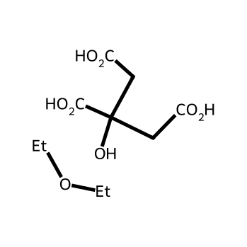 CCOCC.O=C(O)CC(O)(CC(=O)O)C(=O)O